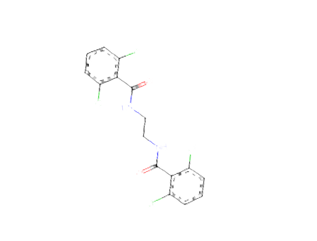 O=C(NCCNC(=O)c1c(Cl)cccc1Cl)c1c(Cl)cccc1Cl